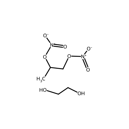 CC(CO[N+](=O)[O-])O[N+](=O)[O-].OCCO